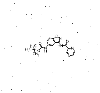 CC(C)(C)OC(=O)Nc1ccc2onc(NC(=O)c3cnccn3)c2c1